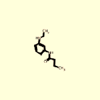 CCCC(=O)Nc1cccc(NCC)c1